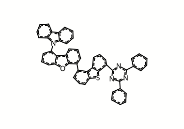 c1ccc(-c2nc(-c3ccccc3)nc(-c3cccc4c3sc3cccc(-c5cccc6c5oc5cccc(-n7c8ccccc8c8ccccc87)c56)c34)n2)cc1